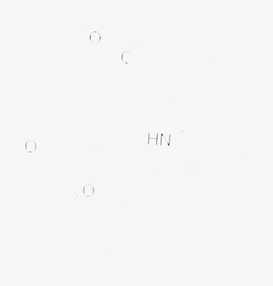 CC(C)(C)OC=O.O=C=C1CCCCN1